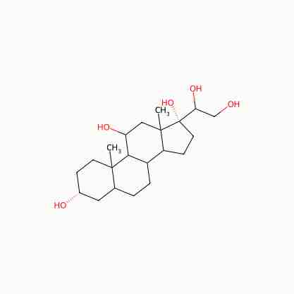 CC12CC[C@@H](O)CC1CCC1C2C(O)CC2(C)C1CC[C@]2(O)C(O)CO